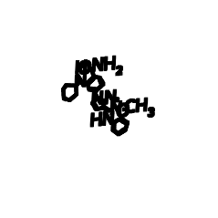 COc1ccccc1Nc1ncnc2c1ccn2-c1ccc(C(N)=O)c(NC2CCCCC2)c1